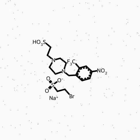 O=S(=O)([O-])CCBr.O=[N+]([O-])c1ccc(CN2CCN(CCS(=O)(=O)O)CC2)c(C(F)(F)F)c1.[Na+]